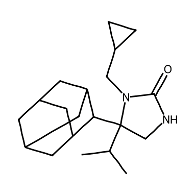 CC(C)C1(C2C3CC4CC(C3)CC2C4)CNC(=O)N1CC1CC1